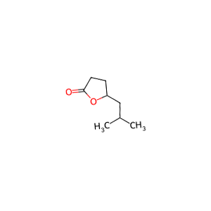 CC(C)CC1CCC(=O)O1